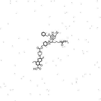 CCn1cc(C(=O)O)c(=O)c2cc(F)c(N3CCN(C(=O)OCc4ccc(NC[C@H](CCCNC(N)=O)NC[C@H](C[Si](C)(C)C)NC(=O)OCc5ccccc5)cc4)CC3)cc21